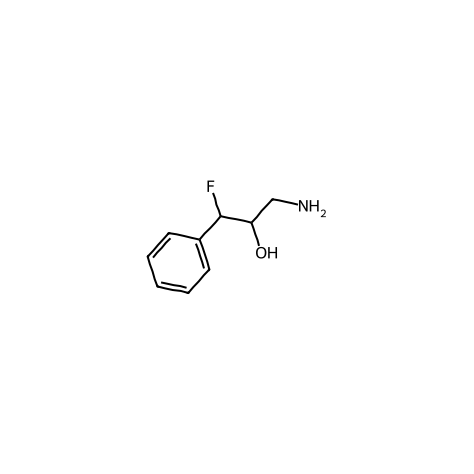 NCC(O)C(F)c1ccccc1